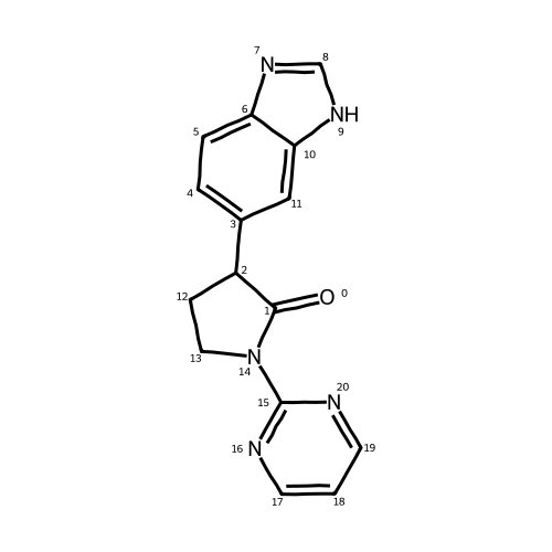 O=C1C(c2ccc3nc[nH]c3c2)CCN1c1ncccn1